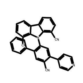 N#Cc1cc(-c2ccccc2)c(-n2c3c(C#N)cccc3c3cccc(C#N)c32)cc1-c1ccncc1